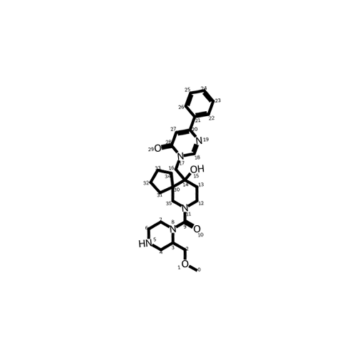 COCC1CNCCN1C(=O)N1CCC(O)(Cn2cnc(-c3ccccc3)cc2=O)C2(CCCC2)C1